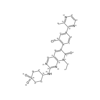 CCn1c(=O)c(-c2ccc(-c3nccnc3C)cc2Cl)cc2cnc(NC3CCS(=O)(=O)CC3)nc21